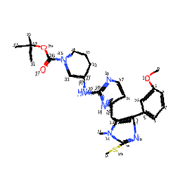 COc1cccc(-c2nc(SC)n(C)c2-c2ccnc(N[C@@H]3CCCN(C(=O)OC(C)(C)C)C3)n2)c1